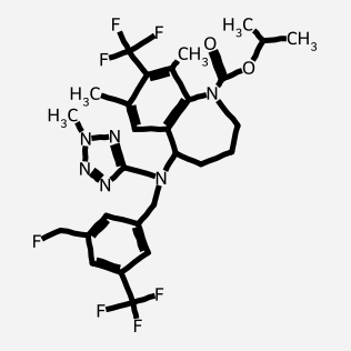 Cc1cc2c(c(C)c1C(F)(F)F)N(C(=O)OC(C)C)CCCC2N(Cc1cc(CF)cc(C(F)(F)F)c1)c1nnn(C)n1